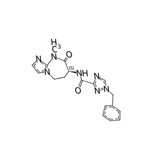 CN1C(=O)[C@@H](NC(=O)c2ncn(Cc3ccccc3)n2)CCn2ccnc21